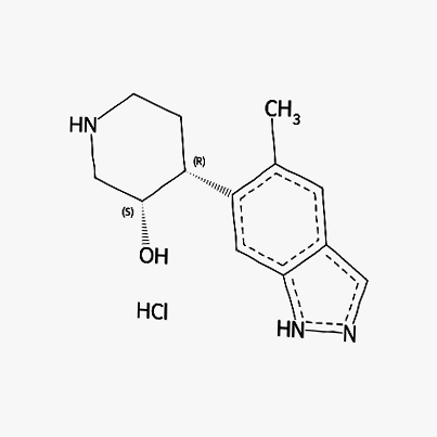 Cc1cc2cn[nH]c2cc1[C@H]1CCNC[C@H]1O.Cl